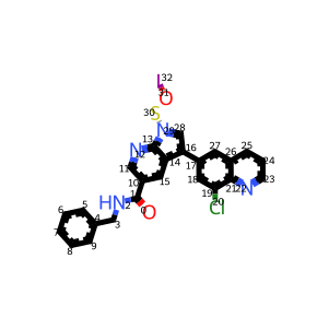 O=C(NCc1ccccc1)c1cnc2c(c1)c(-c1cc(Cl)c3ncccc3c1)cn2SOI